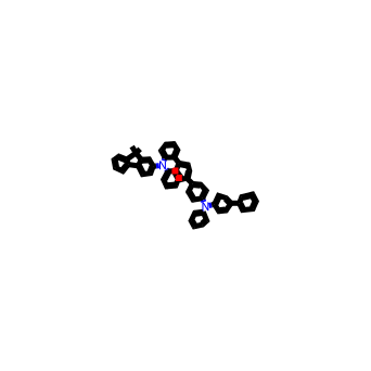 CC1(C)c2ccccc2-c2ccc(N(c3ccccc3)c3ccccc3-c3ccc(-c4ccc(N(c5ccccc5)c5ccc(C6=CC=C=C=C6)cc5)cc4)cc3)cc21